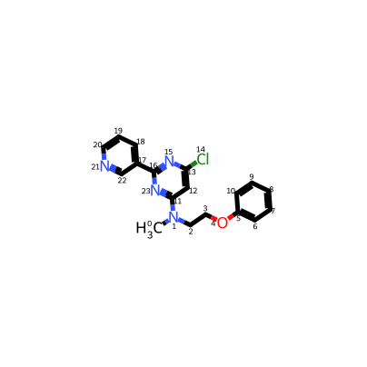 CN(CCOc1ccccc1)c1cc(Cl)nc(-c2cccnc2)n1